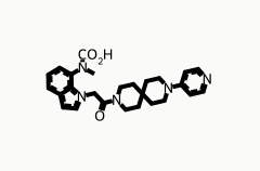 CN(C(=O)O)c1cccc2ccn(CC(=O)N3CCC4(CC3)CCN(c3ccncc3)CC4)c12